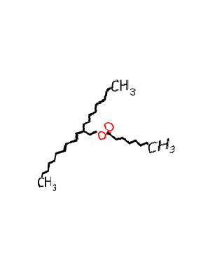 CCCCCCCCCCC(CCCCCCCC)CCOC(=O)CCCCCCC